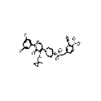 CC1(COc2c(N3CCN(S(=O)(=O)Cc4ccc([N+](=O)[O-])c(C#N)c4)CC3)cnn(-c3cc(F)cc(F)c3)c2=O)CC1